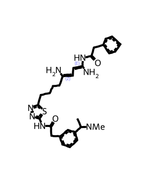 CNC(C)c1cccc(CC(=O)Nc2nnc(CCCC/C(N)=C/C=C(\N)NC(=O)Cc3ccccc3)s2)c1